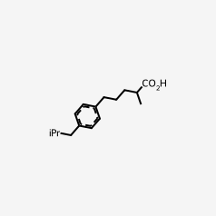 CC(C)Cc1ccc(CCCC(C)C(=O)O)cc1